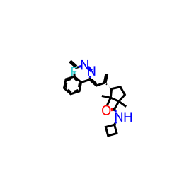 C=C/N=N\C(=C/C(=C)[C@@H]1CCC(C)(C(=O)NC2CCC2)C1(C)C)c1ccccc1F